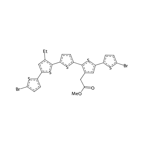 CCc1cc(-c2ccc(Br)s2)sc1-c1ccc(-c2sc(-c3ccc(Br)s3)cc2CC(=O)OC)s1